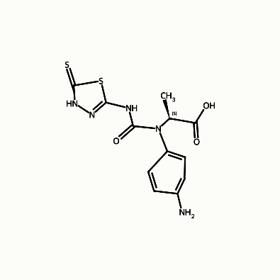 C[C@@H](C(=O)O)N(C(=O)Nc1n[nH]c(=S)s1)c1ccc(N)cc1